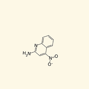 Nc1cc([N+](=O)[O-])c2ccccc2n1